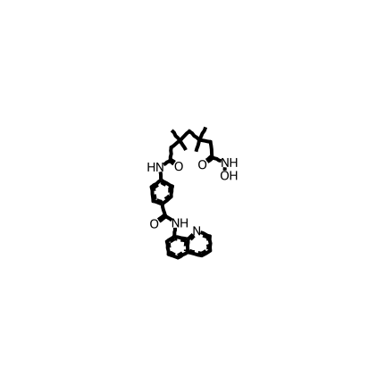 CC(C)(CC(=O)NO)CC(C)(C)CC(=O)Nc1ccc(C(=O)Nc2cccc3cccnc23)cc1